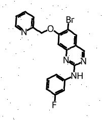 Fc1cccc(Nc2ncc3cc(Br)c(OCc4ccccn4)cc3n2)c1